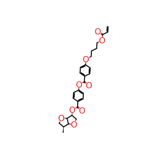 C=CC(=O)OCCCCOc1ccc(C(=O)Oc2ccc(C(=O)O[C@H]3COC4C3OC[C@@H]4C)cc2)cc1